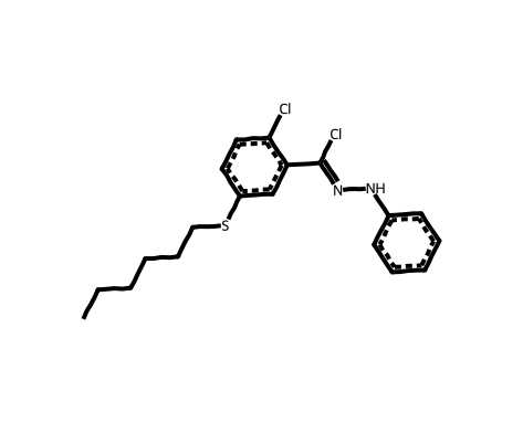 CCCCCCSc1ccc(Cl)c(C(Cl)=NNc2ccccc2)c1